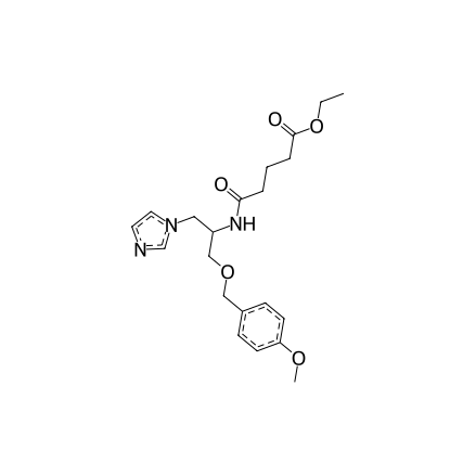 CCOC(=O)CCCC(=O)NC(COCc1ccc(OC)cc1)Cn1ccnc1